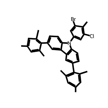 Cc1cc(C)c(-c2ccc3c(c2)c2cc(-c4c(C)cc(C)cc4C)ccc2n3-c2cc(Cl)c(C)c(Br)c2)c(C)c1